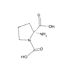 N[C@@]1(C(=O)O)CCCN1C(=O)O